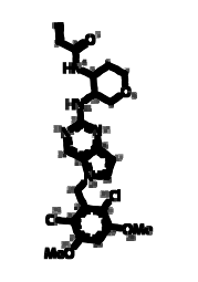 C=CC(=O)NC1CCOCC1Nc1ncc2c(ccn2Cc2c(Cl)c(OC)cc(OC)c2Cl)n1